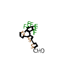 CC1=C(c2cc(-c3ccc(C=O)s3)sc2-c2cccs2)C(F)(F)C(F)(F)C1(F)F